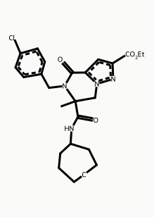 CCOC(=O)c1cc2n(n1)CC(C)(C(=O)NC1CCCCCC1)N(Cc1ccc(Cl)cc1)C2=O